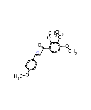 COc1ccc(/C=C/C(=O)c2ccc(OC)c(OC)c2OC)cc1